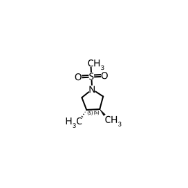 C[C@@H]1CN(S(C)(=O)=O)C[C@H]1C